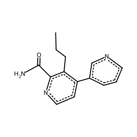 CCCc1c(-c2cccnc2)ccnc1C(N)=O